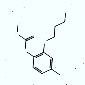 Cc1ccc(NC(=O)NC(C)(C)C)c(OCCCN)c1